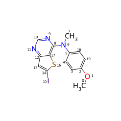 COc1ccc(N(C)c2ncnc3cc(I)sc23)cc1